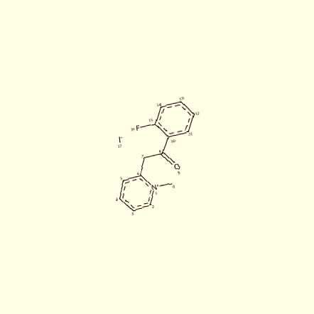 C[n+]1ccccc1CC(=O)c1ccccc1F.[I-]